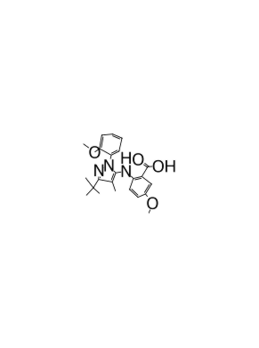 COc1ccc(Nc2c(C)c(C(C)(C)C)nn2-c2ccccc2OC)c(C(=O)O)c1